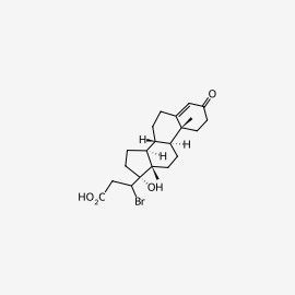 C[C@]12CCC(=O)C=C1CC[C@@H]1[C@@H]2CC[C@@]2(C)[C@H]1CC[C@]2(O)C(Br)CC(=O)O